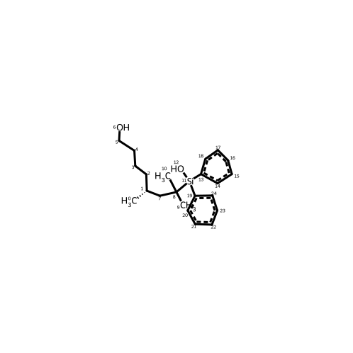 C[C@H](CCCCO)CC(C)(C)[Si](O)(c1ccccc1)c1ccccc1